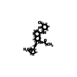 C=CC(=O)Nc1cc2c(Nc3cccc(Cl)c3F)ncnc2cc1C#CC12CCC(CC1)N2C